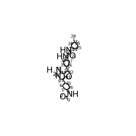 CC(=O)Nc1ccc(-c2cnc(N)c3c(-c4ccc(NC(=O)Nc5cccc(C)c5)cc4)coc23)cc1